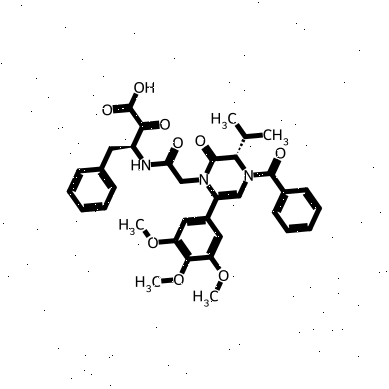 COc1cc(C2=CN(C(=O)c3ccccc3)[C@@H](C(C)C)C(=O)N2CC(=O)N[C@@H](Cc2ccccc2)C(=O)C(=O)O)cc(OC)c1OC